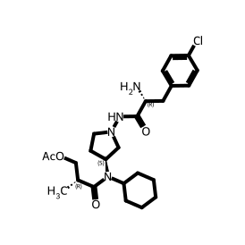 CC(=O)OC[C@@H](C)C(=O)N(C1CCCCC1)[C@H]1CCN(NC(=O)[C@H](N)Cc2ccc(Cl)cc2)C1